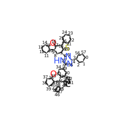 c1ccc(C2=NC(c3cc4c5ccccc5oc4c4c3sc3ccccc34)NC(c3ccc4c(c3)Oc3ccccc3C43c4ccccc4-c4ccccc43)=N2)cc1